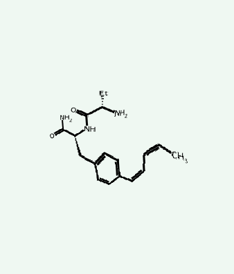 C/C=C\C=C/c1ccc(C[C@H](NC(=O)[C@@H](N)CC)C(N)=O)cc1